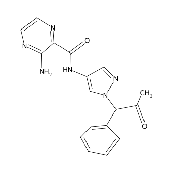 CC(=O)C(c1ccccc1)n1cc(NC(=O)c2nccnc2N)cn1